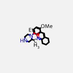 CCC(O/N=C1/CCCC/C1=C/c1ccccc1OC)N1CCNCC1C